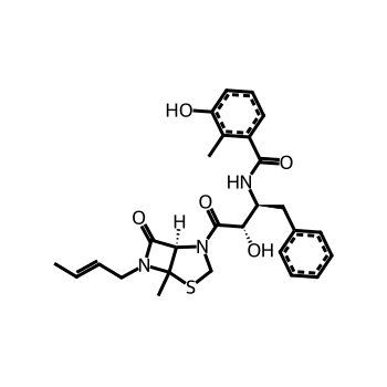 C/C=C/CN1C(=O)[C@H]2N(C(=O)[C@@H](O)[C@H](Cc3ccccc3)NC(=O)c3cccc(O)c3C)CSC21C